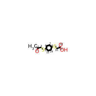 CC(=O)CSc1ccc(SCC(=O)O)cc1